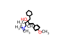 COc1ccc(C=C(C)C(O)(CC2CCCCC2)C(C)CN(C)C)cc1